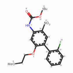 COCCOc1cc(NC(=O)OC(C)(C)C)c([N+](=O)[O-])cc1-c1ccccc1F